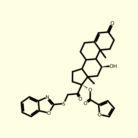 CC12CCC(=O)C=C1CCC1C2[C@@H](O)CC2(C)C1CC[C@]2(OC(=O)c1ccco1)C(=O)CSc1nc2ccccc2o1